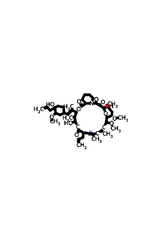 C=CCC1/C=C(\C)CC(C)CC(OC)C2OC(O)(C(=O)C(=O)N3CCCCC3C(=O)OC(C(C)=CC3CCC(O)(CC=C)C(OC)C3)C(C)C(O)CC1=O)C(C)CC2OC